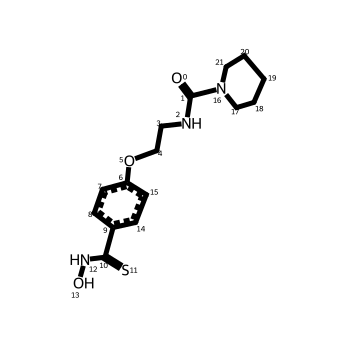 O=C(NCCOc1ccc(C(=S)NO)cc1)N1CCCCC1